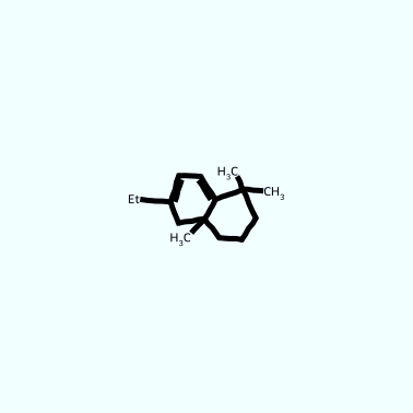 CCC1=CC=C2C(C)(C)CCCC2(C)C1